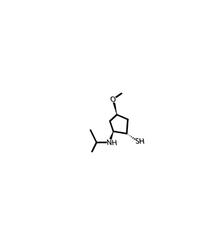 CO[C@@H]1C[C@H](NC(C)C)[C@@H](S)C1